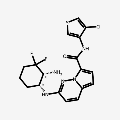 N[C@@H]1[C@H](Nc2ccc3ccc(C(=O)Nc4cscc4Cl)n3n2)CCCC1(F)F